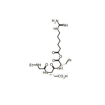 CCNCC(=O)N[C@@H](CC(=O)O)C(=O)N[C@@H](CC(C)C)C(=O)OC(=O)CCCCCNC(=N)N